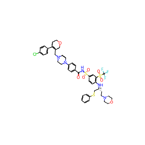 O=C(NS(=O)(=O)c1ccc(N[C@H](CCN2CCOCC2)CSc2ccccc2)c(S(=O)(=O)C(F)(F)F)c1)c1ccc(N2CCN(CC3=C(c4ccc(Cl)cc4)CCOC3)CC2)cc1